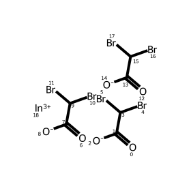 O=C([O-])C(Br)Br.O=C([O-])C(Br)Br.O=C([O-])C(Br)Br.[In+3]